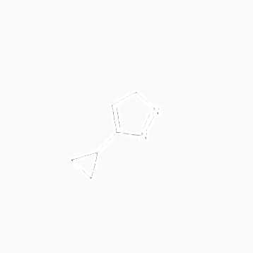 C1=C(C2CC2)N=NC1